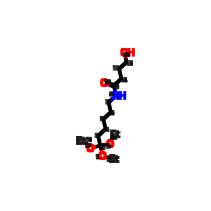 CCOC(CCCCCNC(=O)CCCO)(OCC)OCC